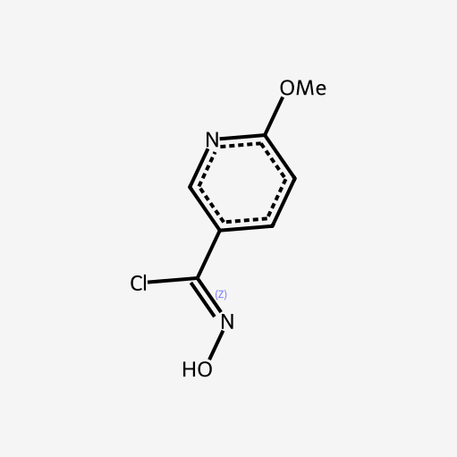 COc1ccc(/C(Cl)=N/O)cn1